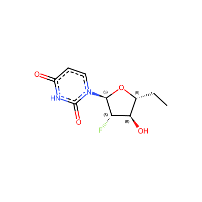 CC[C@H]1O[C@H](n2ccc(=O)[nH]c2=O)[C@@H](F)[C@@H]1O